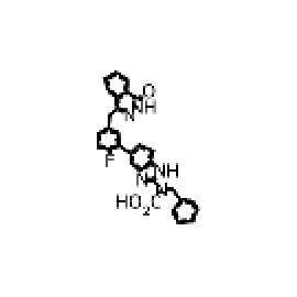 O=C(O)N(Cc1ccccc1)c1nc2cc(-c3cc(Cc4n[nH]c(=O)c5ccccc45)ccc3F)ccc2[nH]1